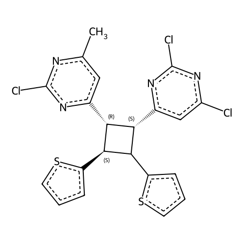 Cc1cc([C@@H]2[C@H](c3cc(Cl)nc(Cl)n3)C(c3cccs3)[C@H]2c2cccs2)nc(Cl)n1